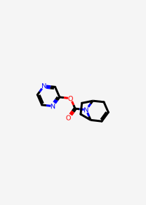 O=C(Oc1cnccn1)N1C2C=CCC1CC2